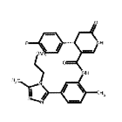 COCCn1c(C)nnc1-c1ccc(C)c(NC(=O)C2=CNC(=O)C[C@H]2c2ccc(F)cc2)c1